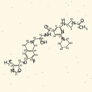 CC(=O)N1CC(Nc2cc(C(=O)NC[C@H](O)CN3CCc4cc(OCc5ocnc5C)c(F)cc4C3)cc(N3CCCCC3)n2)C1